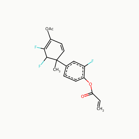 C=CC(=O)Oc1ccc(C2(C)C=CC(OC(C)=O)=C(F)C2F)cc1F